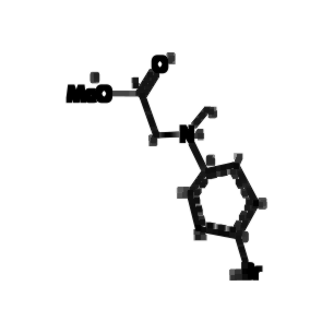 COC(=O)CN(C)c1ccc(Br)cc1